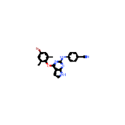 Cc1cc(Br)cc(C)c1Oc1nc(Nc2ccc(C#N)cc2)nc2[nH]ccc12